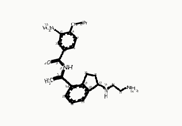 C=C(NC(=O)c1ccc(OC(C)C)c(N)c1)c1cccc2c1CCC2NCCN